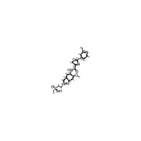 COc1cc2nn(CCS(C)(=N)=O)cc2cc1NC(=O)c1coc(-c2ccnc(C)c2)n1